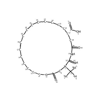 O=CO.[2H]C([2H])([2H])N1CC(=O)OCCCCCCCCCCCCCCCCCC(=O)NC1=N